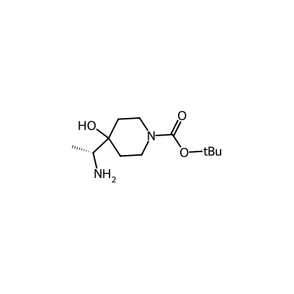 C[C@@H](N)C1(O)CCN(C(=O)OC(C)(C)C)CC1